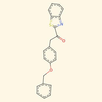 O=C(Cc1ccc(OCc2ccccc2)cc1)c1nc2ccccc2s1